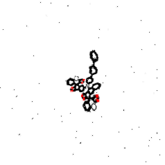 c1ccc(-c2ccc(-c3ccc(N(c4ccc5c(c4)C4(c6ccccc6Oc6ccccc64)c4ccccc4-5)c4c5c(cc6ccccc46)C4(c6ccccc6Oc6ccccc64)c4ccccc4-5)cc3)cc2)cc1